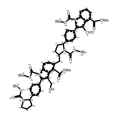 COC(=O)c1cccc2c1c(C=O)c(-c1ccc(C3CCC(Cc4ccc5c(c(CO)c(-c6ccc(C7CCCN7C(=O)OC(C)(C)C)cc6)n5C(=O)OC(C)(C)C)c4C(=O)OC)N3C(=O)OC(C)(C)C)cc1)n2C(=O)OC(C)(C)C